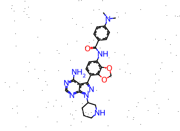 CN(C)c1ccc(C(=O)Nc2ccc(-c3nn(C4CCCNC4)c4ncnc(N)c34)c3c2OCO3)cc1